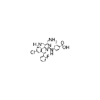 C=C(c1ccccc1F)c1cc(Cl)ccc1-c1nc(Nc2ccc(C(=O)O)cc2)nc(CN)c1CN